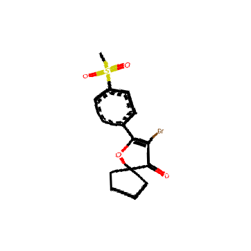 CS(=O)(=O)c1ccc(C2=C(Br)C(=O)C3(CCCC3)O2)cc1